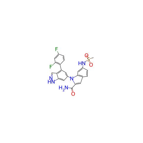 CS(=O)(=O)Nc1ccc2cc(C(N)=O)n(-c3cc(-c4ccc(F)cc4F)c4cn[nH]c4c3)c2c1